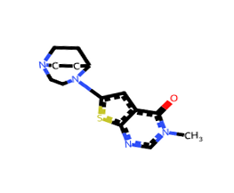 Cn1cnc2sc(N3CCN4CCC3CC4)cc2c1=O